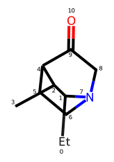 CCC1C(C)C2CCN1CC2=O